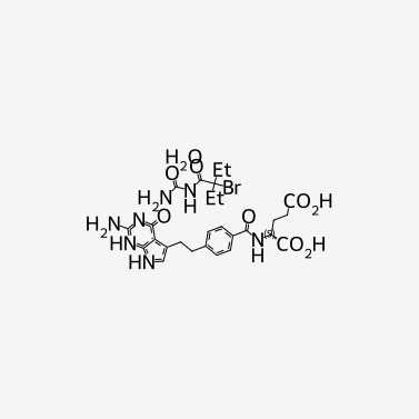 CCC(Br)(CC)C(=O)NC(N)=O.Nc1nc(=O)c2c(CCc3ccc(C(=O)N[C@@H](CCC(=O)O)C(=O)O)cc3)c[nH]c2[nH]1.O